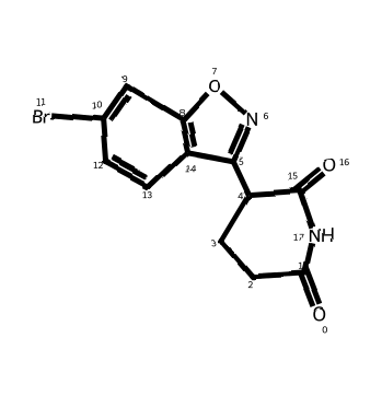 O=C1CCC(c2noc3cc(Br)ccc23)C(=O)N1